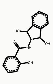 O=C(NN1C(O)c2ccccc2C1O)c1ccccc1O